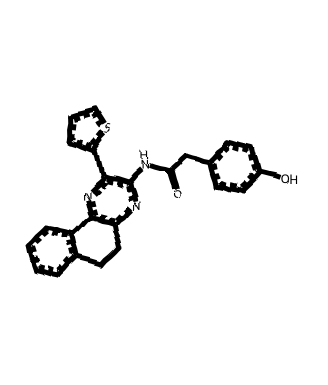 O=C(Cc1ccc(O)cc1)Nc1nc2c(nc1-c1cccs1)-c1ccccc1CC2